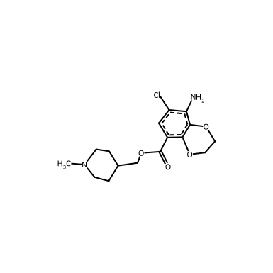 CN1CCC(COC(=O)c2cc(Cl)c(N)c3c2OCCO3)CC1